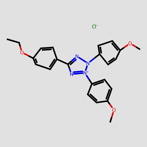 CCOc1ccc(-c2nn(-c3ccc(OC)cc3)[n+](-c3ccc(OC)cc3)n2)cc1.[Cl-]